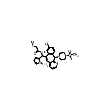 CCOCC(=O)NC(C1=Cc2cccnc2C(N2CCN(S(C)(=O)=O)CC2)c2ccc(Cl)cc21)c1cncn1C